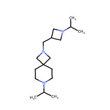 CC(C)N1CCC2(CC1)CN(CC1CN(C(C)C)C1)C2